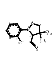 CC1(C)CON(c2ccccc2Cl)C1C=O